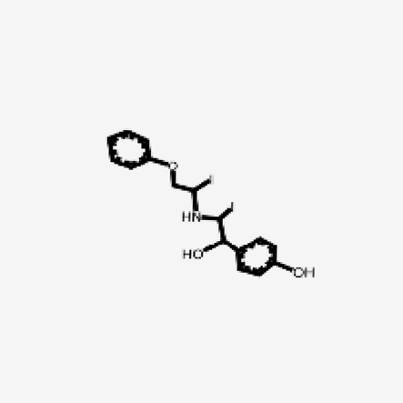 Oc1ccc(C(O)C(I)NC(I)COc2ccccc2)cc1